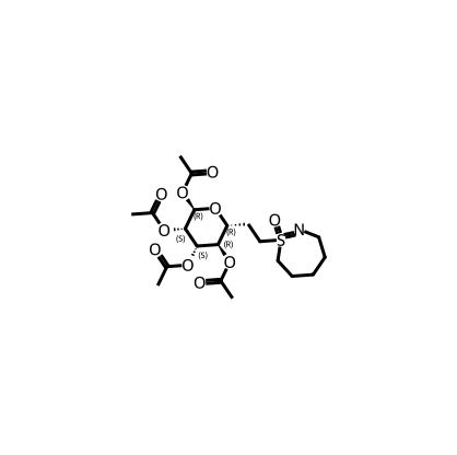 CC(=O)O[C@H]1O[C@H](CCS2(=O)=NCCCCC2)[C@@H](OC(C)=O)[C@H](OC(C)=O)[C@@H]1OC(C)=O